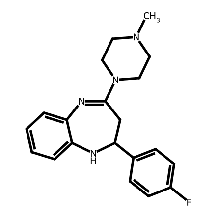 CN1CCN(C2=Nc3ccccc3NC(c3ccc(F)cc3)C2)CC1